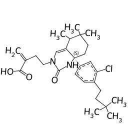 C=C(CCN1C=C2C(C)C(C)(C)CC[C@@]2(c2ccc(CCC(C)(C)C)c(Cl)c2)NC1=O)C(=O)O